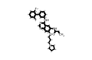 C=CC(=O)Nc1cc2c(Nc3cccc(-c4c(F)cccc4F)c3)ncnc2cc1OCCCN1CCCC1